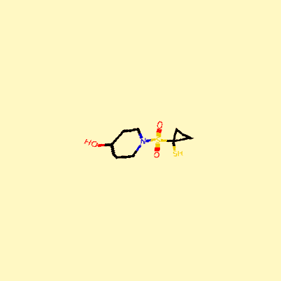 O=S(=O)(N1CCC(O)CC1)C1(S)CC1